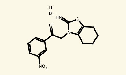 N=c1sc2c(n1CC(=O)c1cccc([N+](=O)[O-])c1)CCCC2.[Br-].[H+]